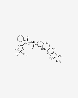 CC(C)(C)OC(=O)N[C@H]1CSc2ccc(C(=O)NNC(=O)C3(NC(=O)OC(C)(C)C)CCCCC3)cc2NC1=O